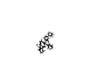 Cc1cccc2oc3ccc(-n4c5ccccc5c5cc(-c6ccccc6)ccc54)cc3c12